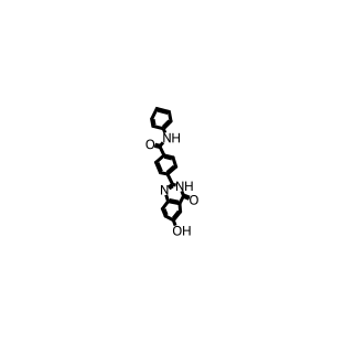 O=C(Nc1ccccc1)c1ccc(-c2nc3ccc(O)cc3c(=O)[nH]2)cc1